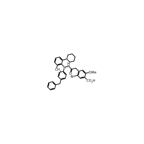 COc1cc(CC(=O)NN(c2ccc(Cc3ccccc3)cc2)c2c(C)cccc2N2CCCCC2)c(Br)cc1C(=O)O